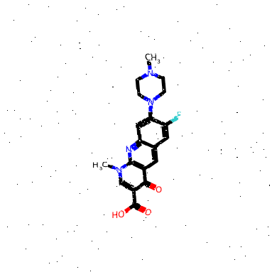 CN1CCN(c2cc3nc4c(cc3cc2F)c(=O)c(C(=O)O)cn4C)CC1